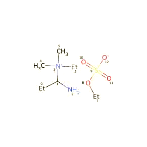 CCC(N)[N+](C)(C)CC.CCOS(=O)(=O)[O-]